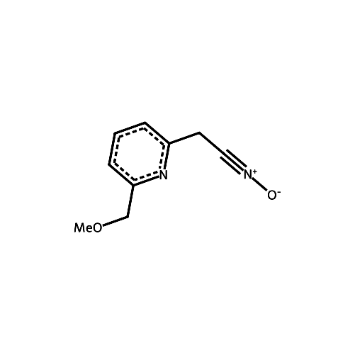 COCc1cccc(CC#[N+][O-])n1